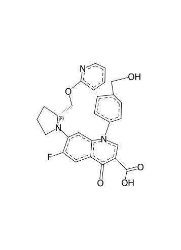 O=C(O)c1cn(-c2ccc(CO)cc2)c2cc(N3CCC[C@@H]3COc3ccccn3)c(F)cc2c1=O